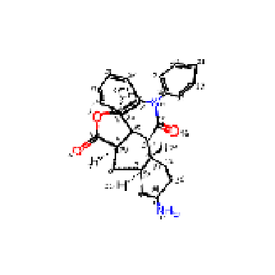 C[C@H]1OC(=O)[C@@H]2C[C@@H]3C[C@H](N)CC[C@H]3[C@H](C(=O)N(c3ccccc3)c3ccccc3)C12